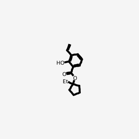 C=Cc1cccc(C(=O)OC2(CC)CCCC2)c1O